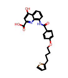 O=C(Nc1cccc2c(O)cc(C(=O)O)nc12)c1ccc(OCCCCc2cccs2)cc1